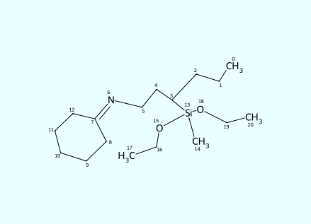 CCCC(CCN=C1CCCCC1)[Si](C)(OCC)OCC